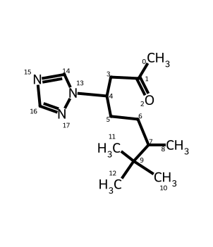 CC(=O)CC(CCC(C)C(C)(C)C)n1cncn1